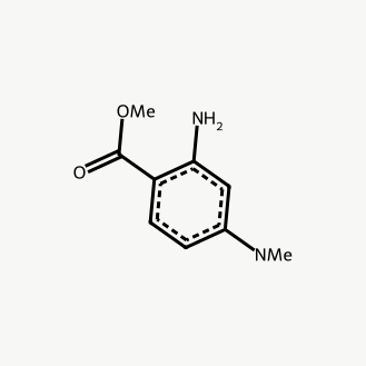 CNc1ccc(C(=O)OC)c(N)c1